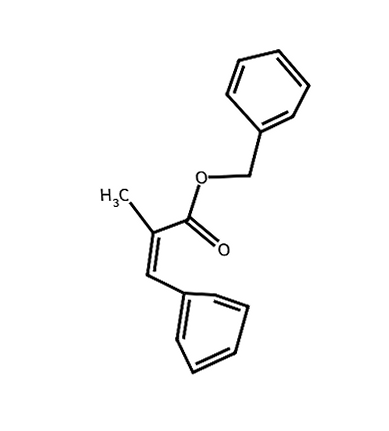 CC(=Cc1ccccc1)C(=O)OCc1ccccc1